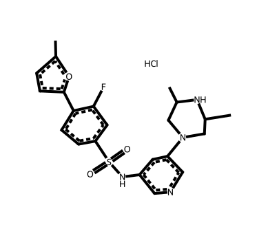 Cc1ccc(-c2ccc(S(=O)(=O)Nc3cncc(N4CC(C)NC(C)C4)c3)cc2F)o1.Cl